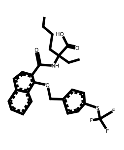 CCCCC(CC)(NC(=O)c1ccc2ccccc2c1OCc1ccc(SC(F)(F)F)cc1)C(=O)O